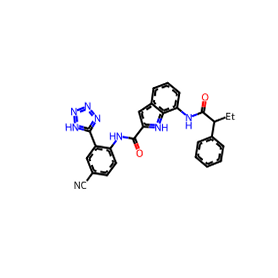 CCC(C(=O)Nc1cccc2cc(C(=O)Nc3ccc(C#N)cc3-c3nnn[nH]3)[nH]c12)c1ccccc1